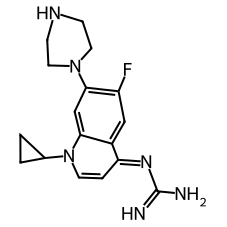 N=C(N)N=c1ccn(C2CC2)c2cc(N3CCNCC3)c(F)cc12